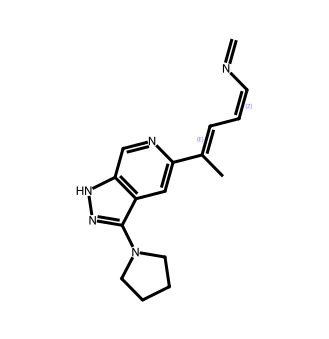 C=N/C=C\C=C(/C)c1cc2c(N3CCCC3)n[nH]c2cn1